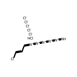 Cl.N=[N+]=[N+]=[N+]=[N+]=[N+]=CC=CCl.[Cl-].[Cl-].[Cl-].[Cl-].[Cl-]